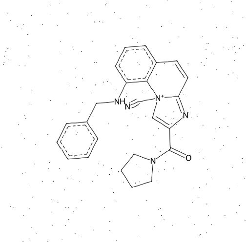 N#C[N+]12C=C(C(=O)N3CCCC3)N=C1C=Cc1cccc(NCc3ccccc3)c12